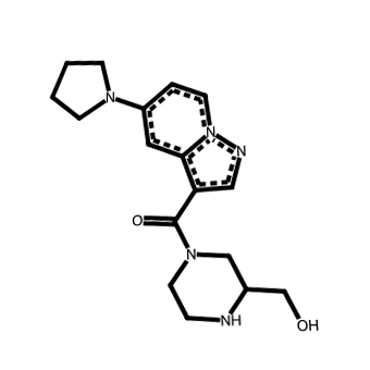 O=C(c1cnn2ccc(N3CCCC3)cc12)N1CCNC(CO)C1